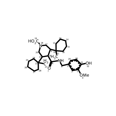 COc1cc(CNC(=O)C2C(C3(C)CCCCC3)CN(C(=O)O)CC2C2(C)CCCCC2)ccc1O